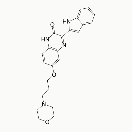 O=c1[nH]c2ccc(OCCCN3CCOCC3)cc2nc1-c1cc2ccccc2[nH]1